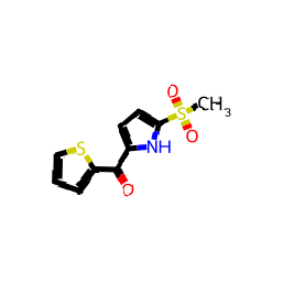 CS(=O)(=O)c1ccc(C(=O)c2cccs2)[nH]1